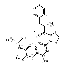 CC[C@H](C)[C@H](NC(=O)[C@@H]1CCCN1C(=O)[C@@H](N)Cc1ccccc1)C(=O)N[C@@H](CC(C)C)C(=O)N[C@H](C(=O)O)C(C)C